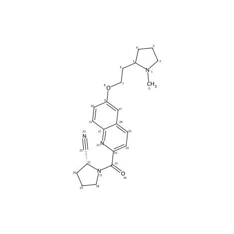 CN1CCCC1CCOc1ccc2nc(C(=O)N3CCC[C@@H]3C#N)ccc2c1